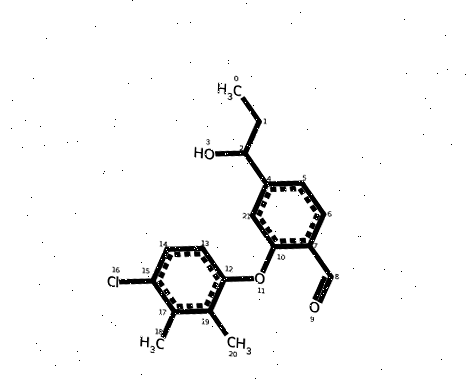 CCC(O)c1ccc(C=O)c(Oc2ccc(Cl)c(C)c2C)c1